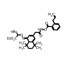 C=CCc1ccccc1C(=O)ONC(=O)CC1=CC(=NOC(CCCC)C(=O)OCC)C2C(=C1)C(C)(C)CCC2(C)C